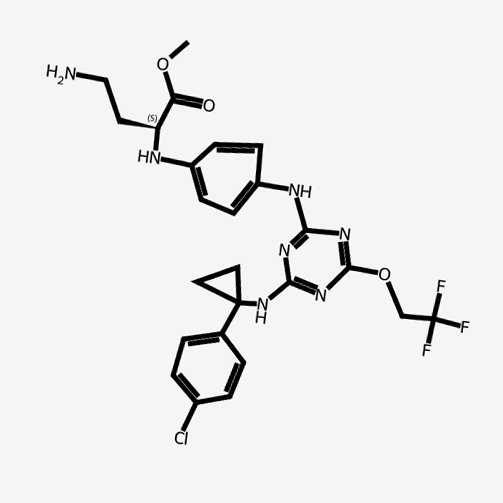 COC(=O)[C@H](CCN)Nc1ccc(Nc2nc(NC3(c4ccc(Cl)cc4)CC3)nc(OCC(F)(F)F)n2)cc1